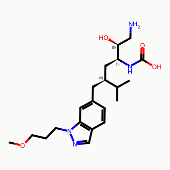 COCCCn1ncc2ccc(C[C@@H](C[C@H](NC(=O)O)[C@@H](O)CN)C(C)C)cc21